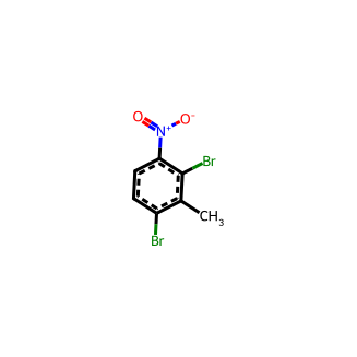 Cc1c(Br)ccc([N+](=O)[O-])c1Br